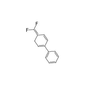 FC(F)=C1C=CC(c2ccccc2)=CC1